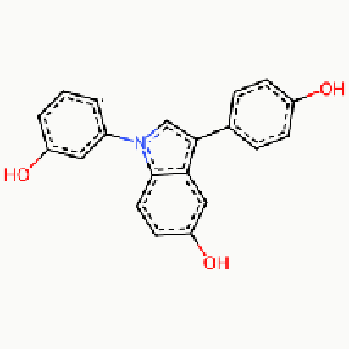 Oc1ccc(-c2cn(-c3[c]ccc(O)c3)c3ccc(O)cc23)cc1